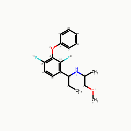 CCC(NC(C)COC)c1ccc(F)c(Oc2ccccc2)c1F